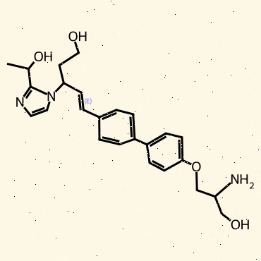 CC(O)c1nccn1C(/C=C/c1ccc(-c2ccc(OCC(N)CO)cc2)cc1)CCO